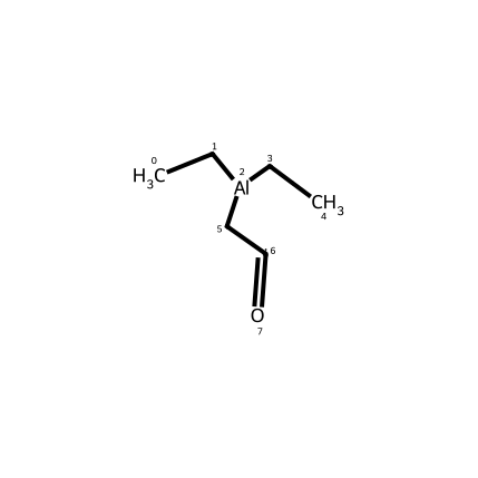 C[CH2][Al]([CH2]C)[CH2][C]=O